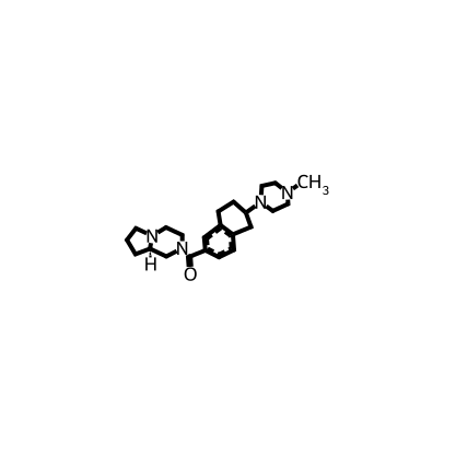 CN1CCN(C2CCc3cc(C(=O)N4CCN5CCC[C@@H]5C4)ccc3C2)CC1